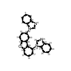 c1ccc2c(c1)ncn2-c1ccc2oc3cccc(-n4cnc5ccccc54)c3c2c1